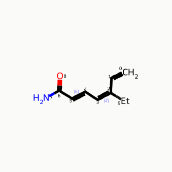 C=C/C(=C\C=C\C(N)=O)CC